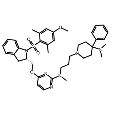 COc1cc(C)c(S(=O)(=O)N2c3ccccc3C[C@H]2COc2ccnc(N(C)CCCN3CCC(c4ccccc4)(N(C)C)CC3)n2)c(C)c1